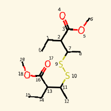 CCC(C(=O)OC)C(C)SSC(C)C(CC)C(=O)OC